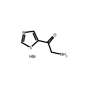 Br.NCC(=O)c1cncs1